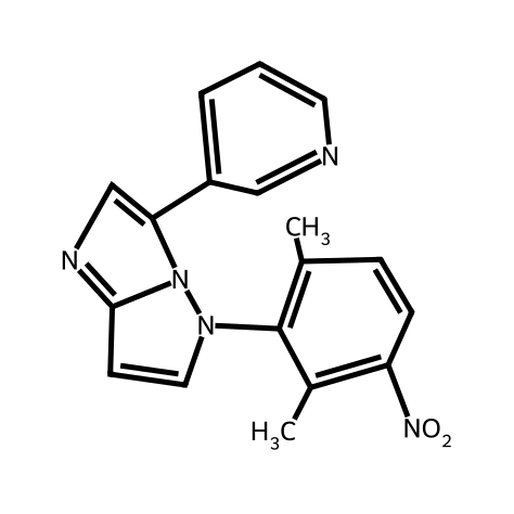 Cc1ccc([N+](=O)[O-])c(C)c1-n1ccc2ncc(-c3cccnc3)n21